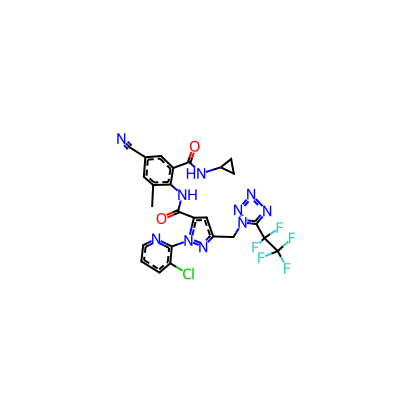 Cc1cc(C#N)cc(C(=O)NC2CC2)c1NC(=O)c1cc(Cn2nnnc2C(F)(F)C(F)(F)F)nn1-c1ncccc1Cl